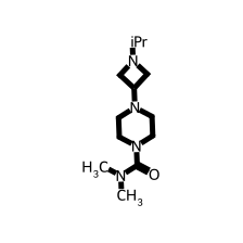 CC(C)N1CC(N2CCN(C(=O)N(C)C)CC2)C1